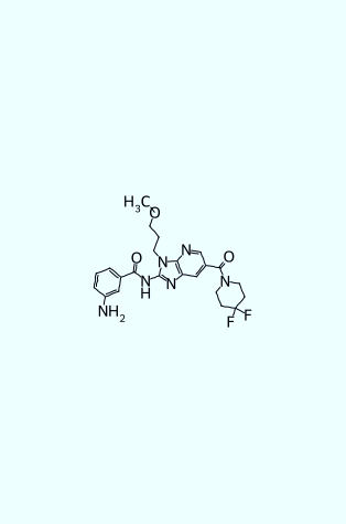 COCCCn1c(NC(=O)c2cccc(N)c2)nc2cc(C(=O)N3CCC(F)(F)CC3)cnc21